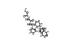 CCOC(=O)CNC(=O)NC1c2ccccc2-c2c(-c3nc4ccncc4[nH]3)cccc21